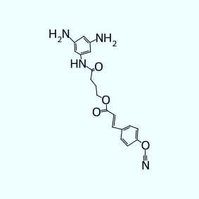 N#COc1ccc(/C=C/C(=O)OCCCC(=O)Nc2cc(N)cc(N)c2)cc1